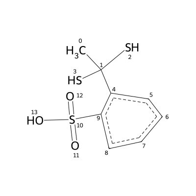 CC(S)(S)c1ccccc1S(=O)(=O)O